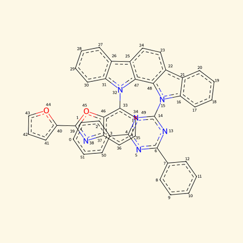 c1ccc(-c2nc(-c3ccccc3)nc(-n3c4ccccc4c4ccc5c6ccccc6n(-c6cccc7nc(-c8ccco8)oc67)c5c43)n2)cc1